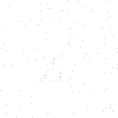 Cc1cc(C=NNC(N)=S)ccn1